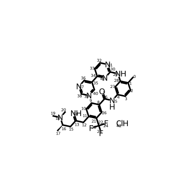 Cc1ccc(NC(=O)c2ccc(CC(=N)C[C@@H](C)N(C)C)c(C(F)(F)F)c2)cc1Nc1nccc(-c2cncnc2)n1.Cl